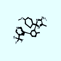 COC1CCC(C2(c3cc(-c4cncc(C(F)(F)F)c4)ccc3C)N=C(C)C(N)=N2)CC1